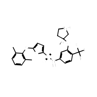 Cc1cccc(C)c1Sc1ccc(S(=O)(=O)Nc2ccc(C(F)(F)F)c(O[C@]3(C)CCNC3)c2)s1